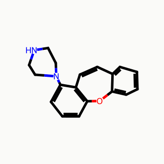 C1=Cc2c(cccc2N2CCNCC2)Oc2ccccc21